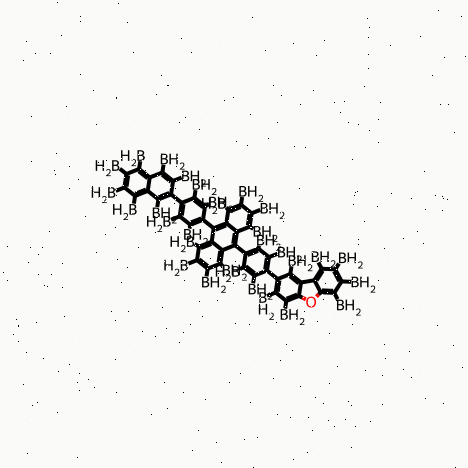 Bc1c(B)c(-c2c3c(B)c(B)c(B)c(B)c3c(-c3c(B)c(B)c(-c4c(B)c(B)c5oc6c(B)c(B)c(B)c(B)c6c5c4B)c(B)c3B)c3c(B)c(B)c(B)c(B)c23)c(B)c(B)c1-c1c(B)c(B)c2c(B)c(B)c(B)c(B)c2c1B